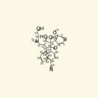 COc1cncc2c1C1(O)[C@H](O)C(CN(C)CCO)C(c3ccccc3)C1(c1ccc(C#N)cc1)O2